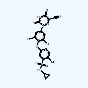 N#Cc1nn(-c2cc(Cl)c(Oc3cc(S(=O)(=O)NC4CC4)c(O)cn3)c(Cl)c2)c(=O)[nH]c1=O